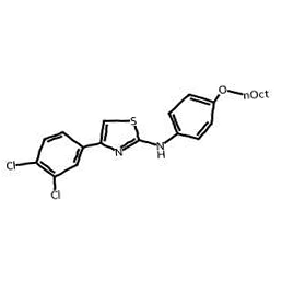 CCCCCCCCOc1ccc(Nc2nc(-c3ccc(Cl)c(Cl)c3)cs2)cc1